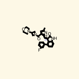 Cc1cc(C(=O)N2CC(N3CCOCC3)C2)c(/C=C2\C(=O)Nc3cccc(-c4cccc(F)c4)c32)[nH]1